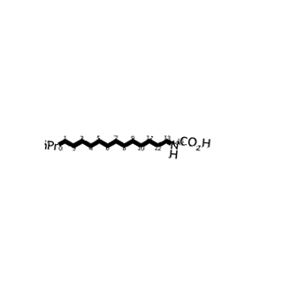 CC(C)CCCCCCCCCCCCCNC(=O)O